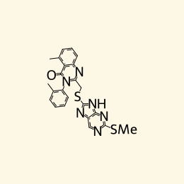 CSc1ncc2nc(SCc3nc4cccc(C)c4c(=O)n3-c3ccccc3C)[nH]c2n1